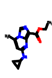 CCOC(=O)c1ncn2c(C)cc(NC3CC3)nc12